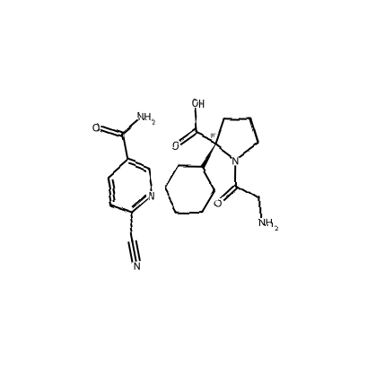 N#Cc1ccc(C(N)=O)cn1.NCC(=O)N1CCC[C@]1(C(=O)O)C1CCCCC1